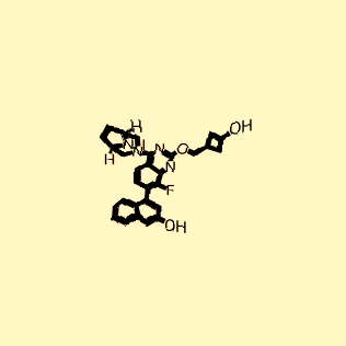 Oc1cc(-c2ccc3c(N4C[C@H]5CC[C@@H](C4)N5)nc(OCC4CC(O)C4)nc3c2F)c2ccccc2c1